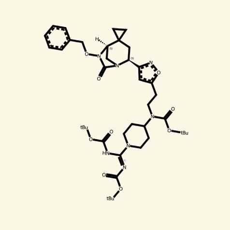 CC(C)(C)OC(=O)/N=C(\NC(=O)OC(C)(C)C)N1CCC(N(CCc2cc([C@@H]3CC4(CC4)[C@H]4CN3C(=O)N4OCc3ccccc3)no2)C(=O)OC(C)(C)C)CC1